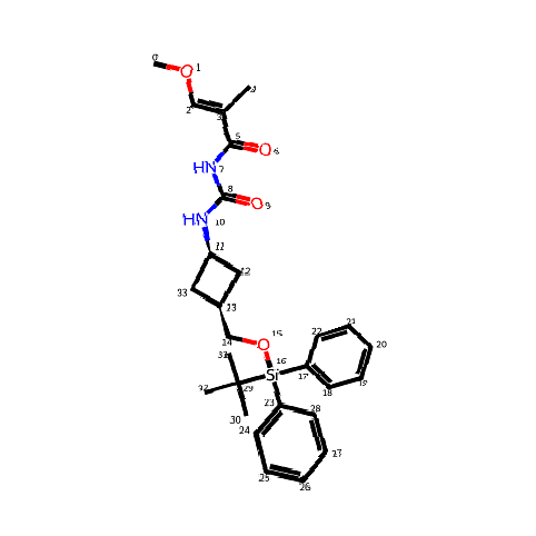 COC=C(C)C(=O)NC(=O)N[C@H]1C[C@@H](CO[Si](c2ccccc2)(c2ccccc2)C(C)(C)C)C1